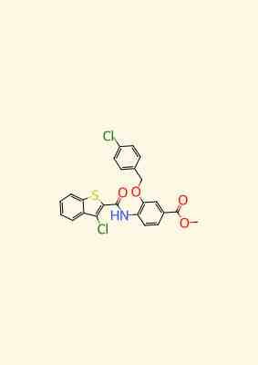 COC(=O)c1ccc(NC(=O)c2sc3ccccc3c2Cl)c(OCc2ccc(Cl)cc2)c1